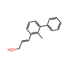 Cc1c(C=CCO)cccc1-c1ccccc1